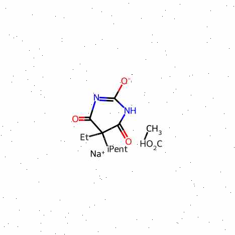 CC(=O)O.CCCC(C)C1(CC)C(=O)N=C([O-])NC1=O.[Na+]